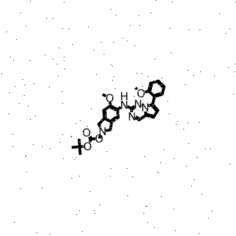 COc1cc2c(cc1Nc1ncc3ccc(-c4ccccc4OC)n3n1)CN(OC(=O)OC(C)(C)C)C2